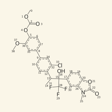 COC(=O)Oc1ccc(-c2ccc(C(C)C(O)(c3ccc4oc(=O)n(C)c4c3)C(F)(F)F)c(Cl)c2)cc1OC